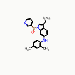 CNCc1cn([S+]([O-])c2cccnc2)c2cc(Nc3ccc(C)cc3C)ccc12